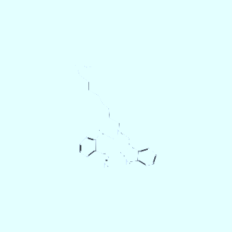 CCCCCCCCCCCCCCCCCCN(CNc1ccccc1N=N)Cn1nnc2ccccc21